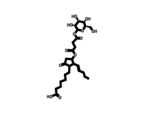 CCC/C=C/C1C(OC(=O)CCC(=O)OC2O[C@H](CO)[C@@H](O)[C@H](O)[C@H]2O)CC(=O)C1CCCCCCC(=O)O